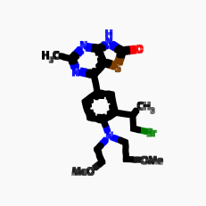 COCCN(CCOC)c1ccc(-c2nc(C)nc3[nH]c(=O)sc23)cc1C(C)CBr